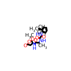 CCOC1OC(=O)CC1NC(=O)[C@H](C)NC(=O)C(=O)Nc1ccccc1C(C)(C)C